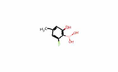 Cc1cc(O)c(B(O)O)c(F)c1